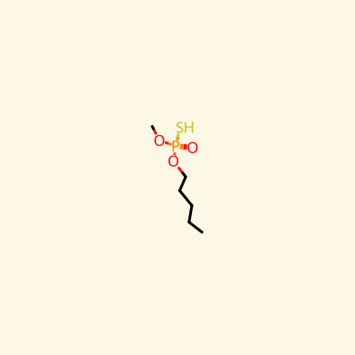 CCCCCOP(=O)(S)OC